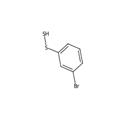 SSc1cccc(Br)c1